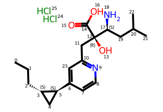 CCC[C@H]1C[C@@H]1c1ccnc(C[C@](O)(C(=O)O)[C@@H](N)CC(C)C)c1.Cl.Cl